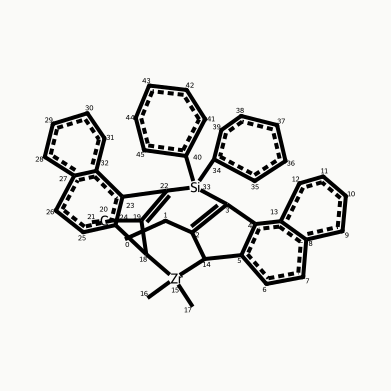 CCC1=C2c3c(ccc4ccccc34)[CH]1[Zr]([CH3])([CH3])[CH]1C(CC)=C(c3c1ccc1ccccc31)[Si]2(c1ccccc1)c1ccccc1